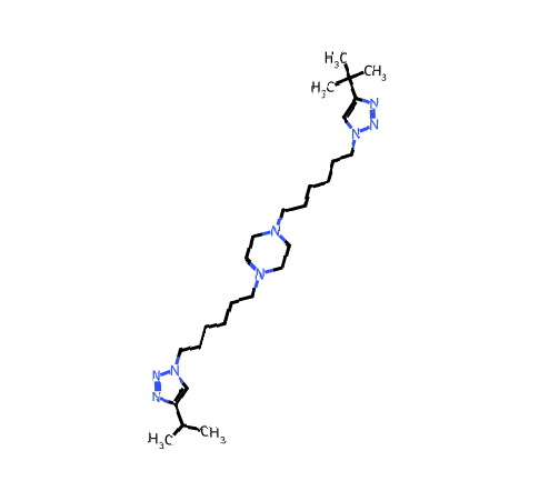 CC(C)c1cn(CCCCCCN2CCN(CCCCCCn3cc(C(C)(C)C)nn3)CC2)nn1